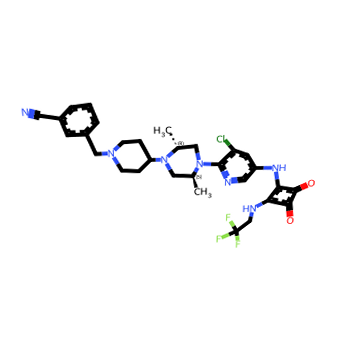 C[C@@H]1CN(c2ncc(Nc3c(NCC(F)(F)F)c(=O)c3=O)cc2Cl)[C@@H](C)CN1C1CCN(Cc2cccc(C#N)c2)CC1